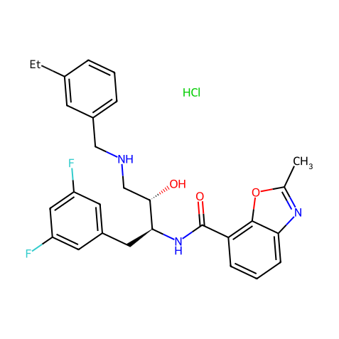 CCc1cccc(CNC[C@H](O)[C@H](Cc2cc(F)cc(F)c2)NC(=O)c2cccc3nc(C)oc23)c1.Cl